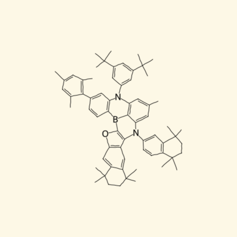 Cc1cc(C)c(-c2ccc3c(c2)N(c2cc(C(C)(C)C)cc(C(C)(C)C)c2)c2cc(C)cc4c2B3c2oc3cc5c(cc3c2N4c2ccc3c(c2)C(C)(C)CCC3(C)C)C(C)(C)CCC5(C)C)c(C)c1